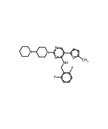 Cc1ccc(-c2cnc(N3CCC(N4CCCCC4)CC3)nc2NCc2c(F)cccc2F)s1